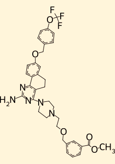 COC(=O)c1cccc(COCCN2CCN(c3nc(N)nc4c3CCc3cc(OCc5ccc(OC(F)(F)F)cc5)ccc3-4)CC2)c1